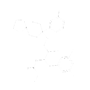 CC(C)(C)OC(=O)NC(Cc1cc(F)cc(F)c1)C(O)CNC1(c2cccc(C(C)(C)C)c2)CCC2(CC1)OCCO2